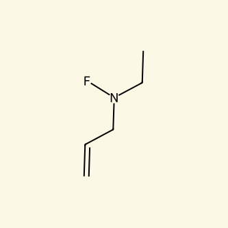 C=CCN(F)CC